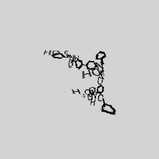 CS(=O)(=O)Nc1cc(OC[C@@H](O)CN(Cc2ccccc2)[C@H]2CC[C@H](c3ccc(C(=O)N[C@@H](Cc4ccccc4)C(=O)O)cc3)CC2)ccc1OCc1ccccc1